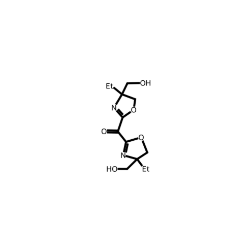 CCC1(CO)COC(C(=O)C2=NC(CC)(CO)CO2)=N1